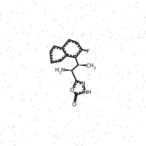 C[C@H](c1c(F)ccc2ccccc12)[C@H](N)c1n[nH]c(=O)o1